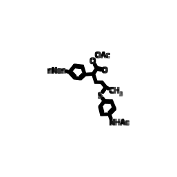 CCCCCCCCCc1ccc(C(CCC(C)Sc2ccc(NC(C)=O)cc2)C(=O)OOC(C)=O)cc1